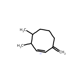 C=C1/C=C\C(C)C(C)CCC1